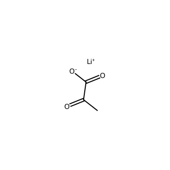 CC(=O)C(=O)[O-].[Li+]